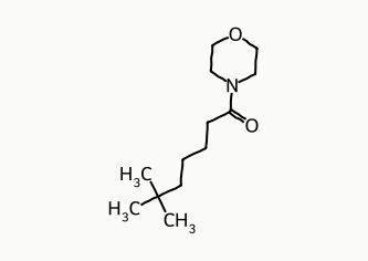 CC(C)(C)CCCCC(=O)N1CCOCC1